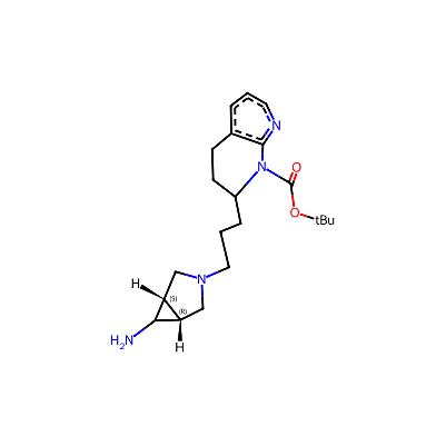 CC(C)(C)OC(=O)N1c2ncccc2CCC1CCCN1C[C@@H]2C(N)[C@@H]2C1